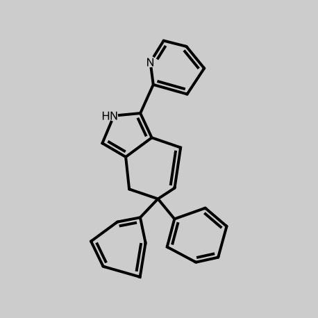 C1=CC(c2ccccc2)(c2ccccc2)Cc2c[nH]c(-c3ccccn3)c21